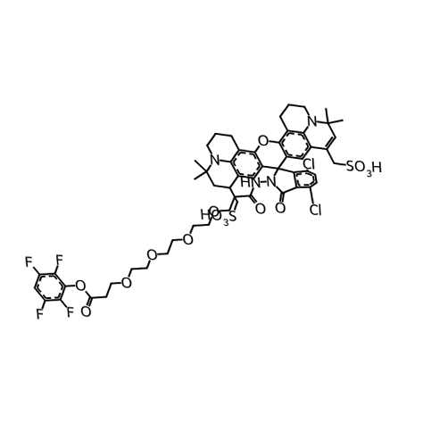 CC1(C)C=C(CS(=O)(=O)O)c2cc3c(c4c2N1CCC4)Oc1c(cc2c4c1CCCN4C(C)(C)CC2CS(=O)(=O)O)C31c2c(Cl)ccc(Cl)c2C(=O)N1NC(=O)CCOCCOCCOCCOCCC(=O)Oc1c(F)c(F)cc(F)c1F